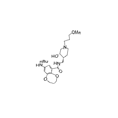 CCCCNc1cc2c(c(C(=O)NC[C@@H]3CCN(CCCOC)C[C@H]3O)c1)OCCCO2